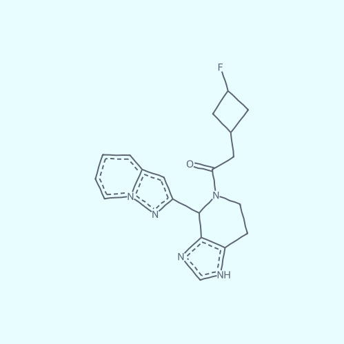 O=C(CC1CC(F)C1)N1CCc2[nH]cnc2C1c1cc2ccccn2n1